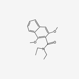 CCN(CC)C(=O)c1c(OC)cc2ccccc2c1OC